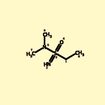 CCS(=N)(=O)N(C)C